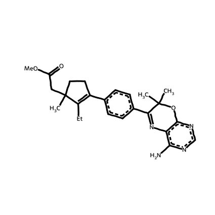 CCC1=C(c2ccc(C3=Nc4c(N)ncnc4OC3(C)C)cc2)CCC1(C)CC(=O)OC